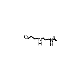 C=C(C)NCCCNCCCC=O